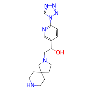 OC(CN1CCC2(CCNCC2)C1)c1ccc(-n2cnnn2)nc1